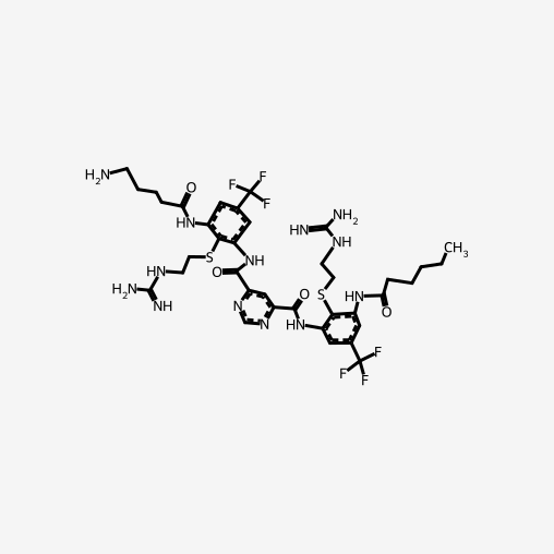 CCCCCC(=O)Nc1cc(C(F)(F)F)cc(NC(=O)c2cc(C(=O)Nc3cc(C(F)(F)F)cc(NC(=O)CCCCN)c3SCCNC(=N)N)ncn2)c1SCCNC(=N)N